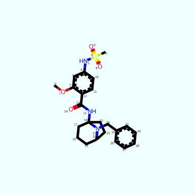 COc1cc(NS(C)(=O)=O)ccc1C(=O)NC12CCCC(CC1)N2Cc1ccccc1